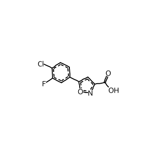 O=C(O)c1cc(-c2ccc(Cl)c(F)c2)on1